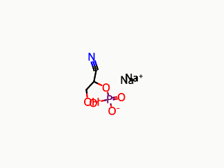 N#CC(CO)OP(=O)([O-])[O-].[Na+].[Na+]